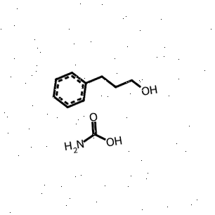 NC(=O)O.OCCCc1ccccc1